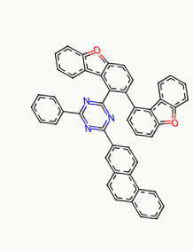 c1ccc(-c2nc(-c3ccc4c(ccc5ccccc54)c3)nc(-c3c(-c4cccc5oc6ccccc6c45)ccc4oc5ccccc5c34)n2)cc1